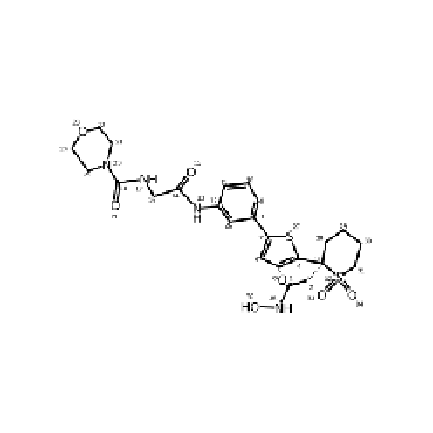 O=C(C[C@]1(c2ccc(-c3cccc(NC(=O)CNC(=O)N4CCOCC4)c3)s2)CCCCS1(=O)=O)NO